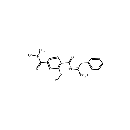 CC(C)Oc1cc(C(=O)N(C)C)ccc1C(=O)N[C@@H](Cc1ccccc1)C(=O)O